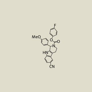 COc1ccc(C2c3[nH]c4ccc(C#N)cc4c3CCN2C(=O)Oc2ccc(F)cc2)cc1